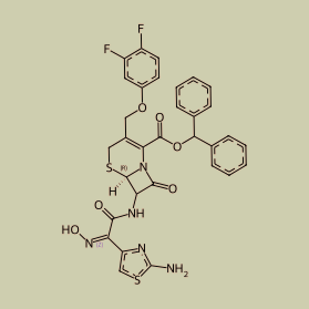 Nc1nc(/C(=N/O)C(=O)NC2C(=O)N3C(C(=O)OC(c4ccccc4)c4ccccc4)=C(COc4ccc(F)c(F)c4)CS[C@H]23)cs1